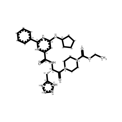 CCOC(=O)N1CCN(C(=O)[C@H](Cc2nnn[nH]2)NC(=O)c2cc(OC3CCCC3)nc(-c3ccccc3)n2)CC1